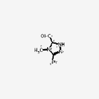 CC(C)C1=NNC(C=O)N1C